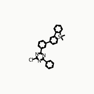 C[Si]1(C)c2ccccc2-c2cc(-c3cccc(-c4nc(Cl)nc(-c5ccccc5)n4)c3)ccc21